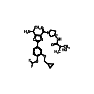 CC(N)c1oc(-c2ccc(OC(F)F)c(OCC3CC3)c2)nc1C(=O)N1CC[C@@H](NC(=O)N(C)C)C1.Cl